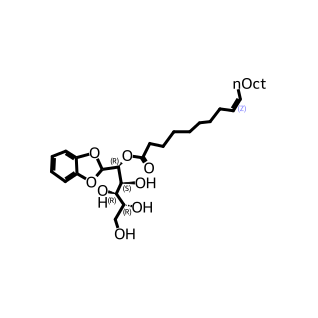 CCCCCCCC/C=C\CCCCCCCC(=O)O[C@@H](C1Oc2ccccc2O1)[C@@H](O)[C@H](O)[C@H](O)CO